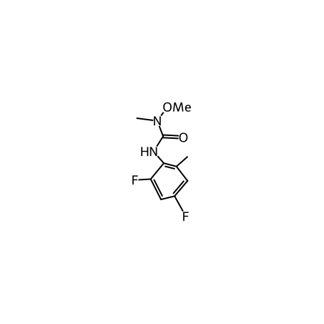 CON(C)C(=O)Nc1c(C)cc(F)cc1F